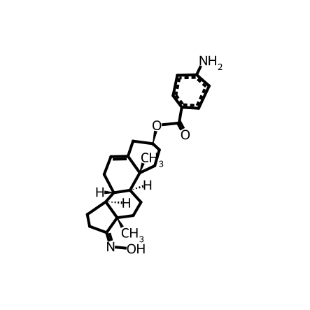 C[C@]12CC[C@H](OC(=O)c3ccc(N)cc3)CC1=CC[C@@H]1[C@@H]2CC[C@]2(C)/C(=N\O)CC[C@@H]12